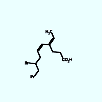 C/C=C(\C=C/CC(Br)CC(C)C)CCC(=O)O